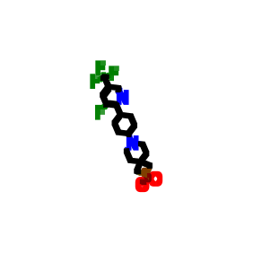 O=S1(=O)CC2(CCN(C3CCC(c4ncc(C(F)(F)F)cc4F)CC3)CC2)C1